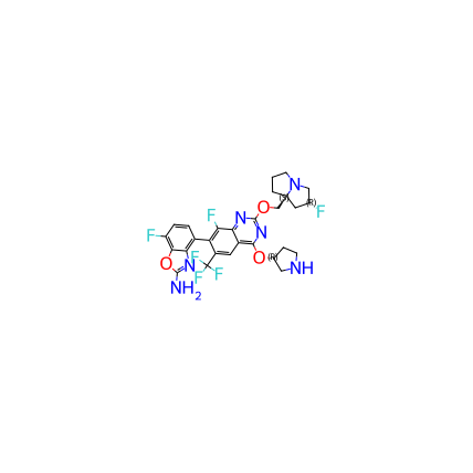 Nc1nc2c(-c3c(C(F)(F)F)cc4c(O[C@@H]5CCNC5)nc(OC[C@@]56CCCN5C[C@H](F)C6)nc4c3F)ccc(F)c2o1